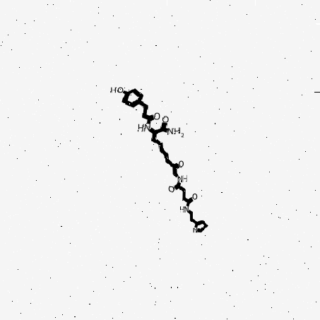 NC(=O)C(CCCCCC(=O)CNC(=O)CCC(=O)NCCC1=CCC=N1)NC(=O)CCc1ccc(O)cc1